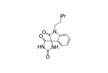 CC(C)CCN1C(=O)C2(NC(=O)NC2=O)c2ccccc21